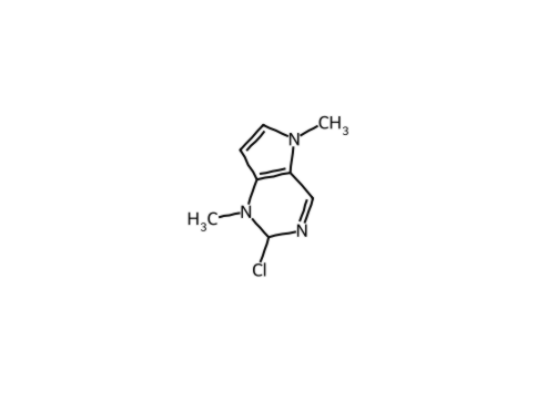 CN1c2ccn(C)c2C=NC1Cl